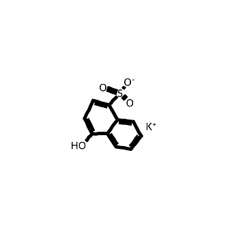 O=S(=O)([O-])c1ccc(O)c2ccccc12.[K+]